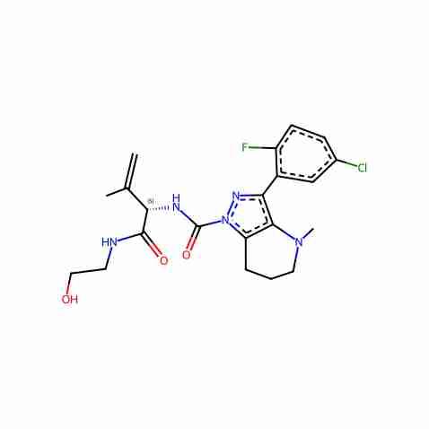 C=C(C)[C@H](NC(=O)n1nc(-c2cc(Cl)ccc2F)c2c1CCCN2C)C(=O)NCCO